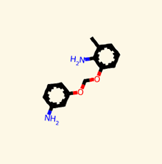 Cc1cccc(OCOc2cccc(N)c2)c1N